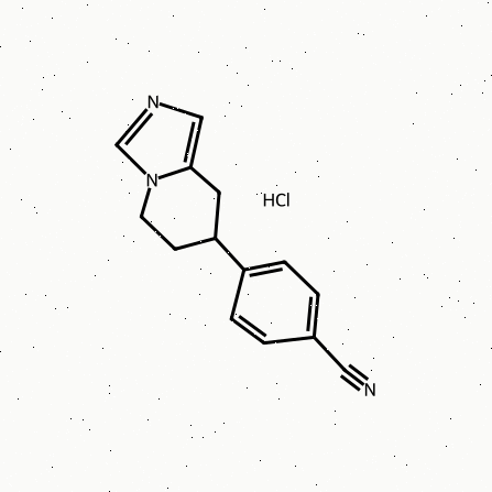 Cl.N#Cc1ccc(C2CCn3cncc3C2)cc1